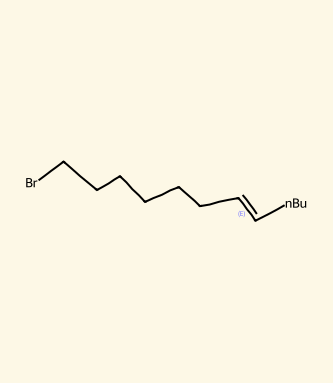 CCCC/C=C/CCCCCCBr